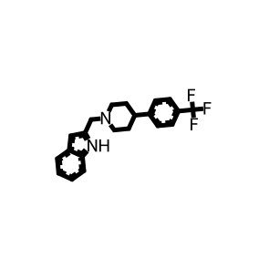 FC(F)(F)c1ccc(C2CCN(Cc3cc4ccccc4[nH]3)CC2)cc1